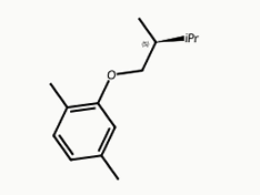 Cc1ccc(C)c(OC[C@@H](C)C(C)C)c1